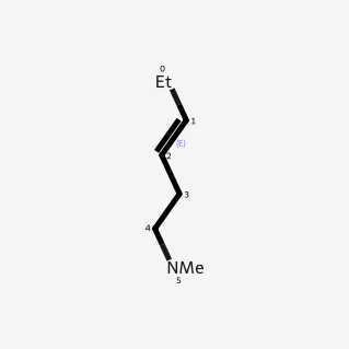 CC/C=C/CCNC